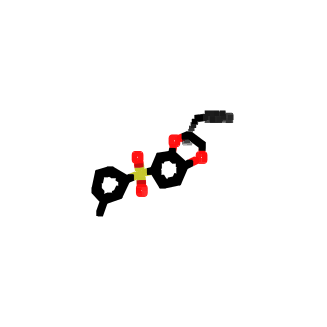 CNC[C@@H]1COc2ccc(S(=O)(=O)c3cccc(C)c3)cc2O1